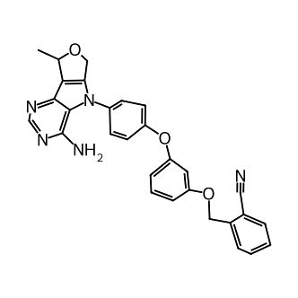 CC1OCc2c1c1ncnc(N)c1n2-c1ccc(Oc2cccc(OCc3ccccc3C#N)c2)cc1